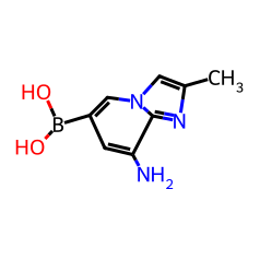 Cc1cn2cc(B(O)O)cc(N)c2n1